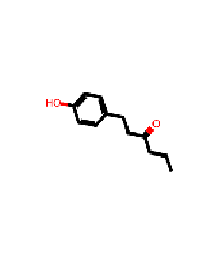 CCCC(=O)CCc1ccc(O)cc1